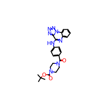 CC(C)(C)OC(=O)N1CCN(C(=O)c2ccc(Nc3nc4ccccc4n4nnnc34)cc2)CC1